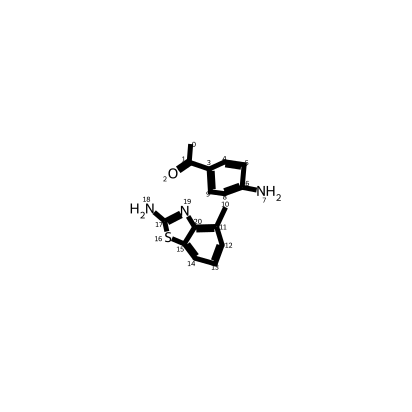 CC(=O)c1ccc(N)cc1.Cc1cccc2sc(N)nc12